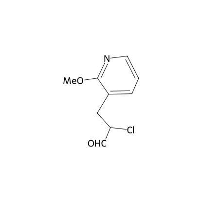 COc1ncccc1CC(Cl)C=O